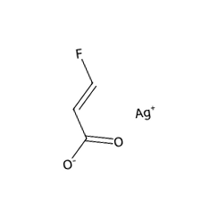 O=C([O-])C=CF.[Ag+]